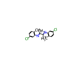 CCC(=Nc1cc(Cl)ccc1C)C(C)=Nc1cc(Cl)ccc1C